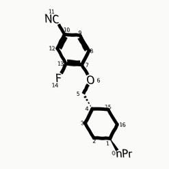 CCC[C@H]1CC[C@H](COc2ccc(C#N)cc2F)CC1